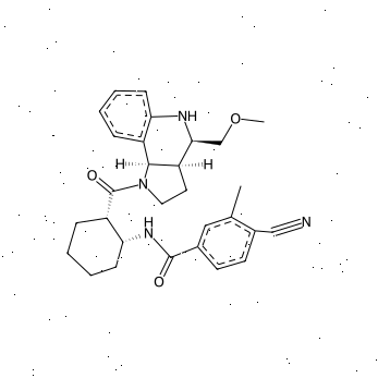 COC[C@@H]1Nc2ccccc2[C@H]2[C@@H]1CCN2C(=O)[C@H]1CCCC[C@H]1NC(=O)c1ccc(C#N)c(C)c1